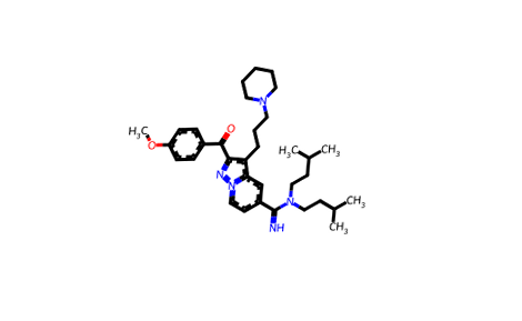 COc1ccc(C(=O)c2nn3ccc(C(=N)N(CCC(C)C)CCC(C)C)cc3c2CCCN2CCCCC2)cc1